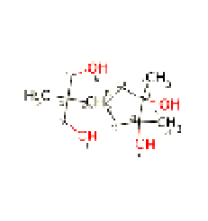 CC(C)(CO)CO.CC1(O)CCCC1(C)O